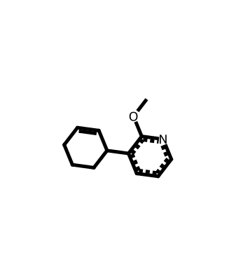 COc1ncccc1C1C=CCCC1